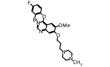 COc1cc2c(Oc3ccc(F)cc3Br)ncnc2cc1OCCCN1CCN(C)CC1